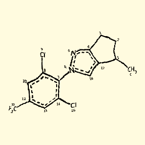 CC1CCc2nn(-c3c(Cl)cc(C(F)(F)F)cc3Cl)cc21